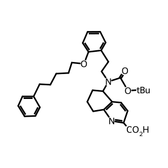 CC(C)(C)OC(=O)N(CCc1ccccc1OCCCCCc1ccccc1)C1CCCc2nc(C(=O)O)ccc21